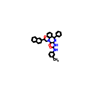 Cc1cccc(NC(=O)NC2N=C(c3ccccc3)c3ccccc3N(CC(=O)c3ccc4ccccc4c3)C2=O)c1